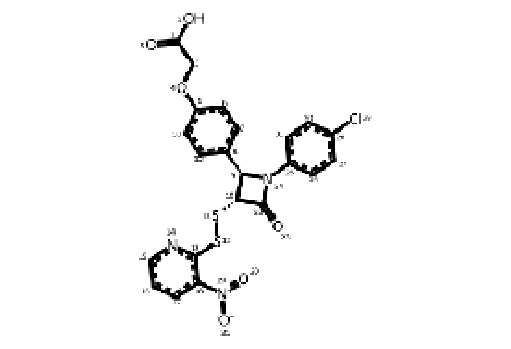 O=C(O)COc1ccc([C@@H]2[C@@H](SSc3ncccc3[N+](=O)[O-])C(=O)N2c2ccc(Cl)cc2)cc1